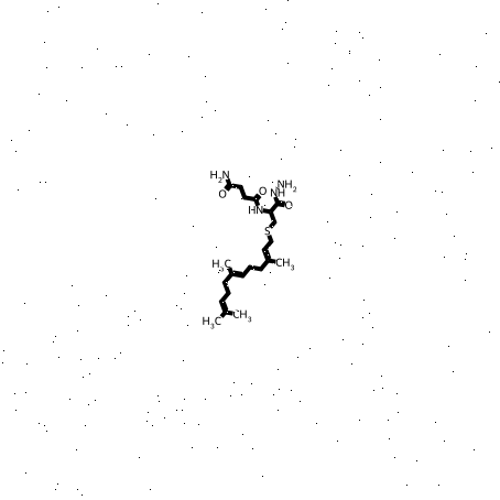 CC(C)=CCCC(C)=CCCC(C)=CCSCC(NC(=O)CCC(N)=O)C(=O)NN